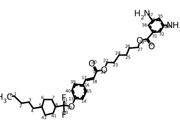 CCCCCC1CCC(C(F)(F)Oc2ccc(C=CC(=O)OCCCCCCOC(=O)c3cc(N)cc(N)c3)cc2)CC1